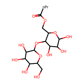 CCCC(=O)OCC1OC(O)C(O)C(O)C1OC1OC(CO)C(O)C(O)C1O